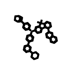 CC1(C)c2cc(N(c3ccc(-c4cccc(C5CCCCC5)c4)cc3)c3ccc(C4CC5CCC4C5)cc3)ccc2-c2c(-c3ccc4ccccc4c3)cccc21